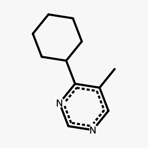 Cc1cncnc1C1CCCCC1